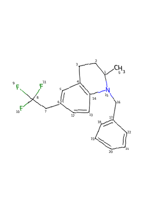 CC1CCc2cc(CC(F)(F)F)ccc2N1Cc1ccccc1